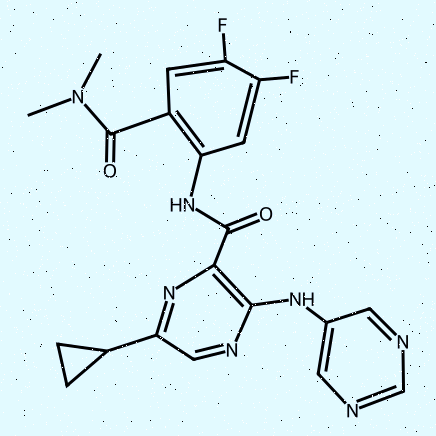 CN(C)C(=O)c1cc(F)c(F)cc1NC(=O)c1nc(C2CC2)cnc1Nc1cncnc1